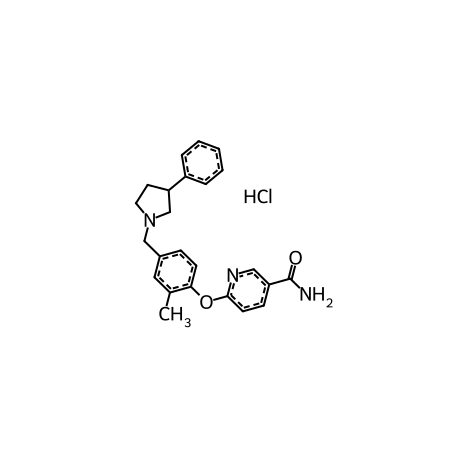 Cc1cc(CN2CCC(c3ccccc3)C2)ccc1Oc1ccc(C(N)=O)cn1.Cl